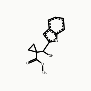 CC(C)(C)OC(=O)C1(C(O)c2cc3ccccc3o2)CC1